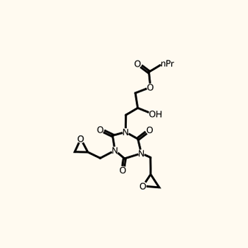 CCCC(=O)OCC(O)Cn1c(=O)n(CC2CO2)c(=O)n(CC2CO2)c1=O